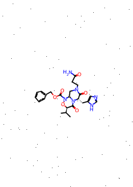 CC(C)[C@H]1ON(C(=O)OCc2ccccc2)C2CN(CCC(N)=O)C(=O)[C@H](Cc3cnc[nH]3)N2C1=O